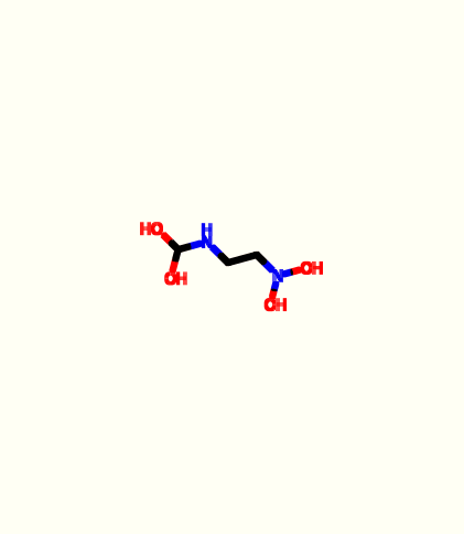 OC(O)NCCN(O)O